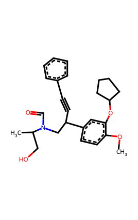 COc1ccc(C(C#Cc2ccccc2)CN(C=O)C(C)CO)cc1OC1CCCC1